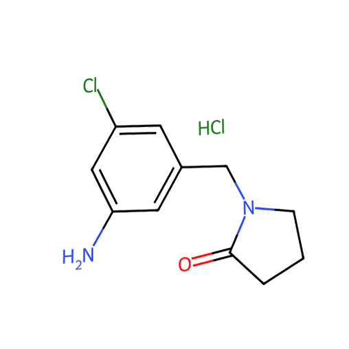 Cl.Nc1cc(Cl)cc(CN2CCCC2=O)c1